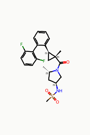 C[C@H]1C[C@H](NS(C)(=O)=O)CN1C(=O)[C@]1(C)C[C@H]1c1ccccc1-c1c(F)cccc1F